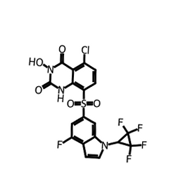 O=c1[nH]c2c(S(=O)(=O)c3cc(F)c4ccn(C5C(F)(F)C5(F)F)c4c3)ccc(Cl)c2c(=O)n1O